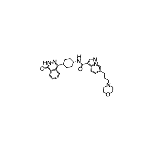 O=C(N[C@H]1CC[C@H](c2n[nH]c(=O)c3ccccc32)CC1)c1cnn2cc(CCCN3CCOCC3)ccc12